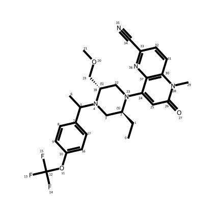 CC[C@H]1CN(C(C)c2ccc(OC(F)(F)F)cc2)[C@H](COC)CN1c1cc(=O)n(C)c2ccc(C#N)nc12